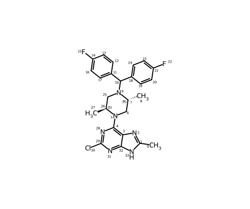 Cc1nc2c(N3C[C@@H](C)N(C(c4ccc(F)cc4)c4ccc(F)cc4)C[C@@H]3C)nc(Cl)nc2[nH]1